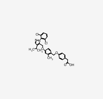 Cc1cc(OCc2c(C(C)C)cnn2-c2c(Cl)cccc2Cl)ccc1COc1ccc(CC(=O)O)cc1